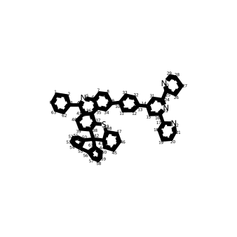 c1ccc(-c2nc3ccc(-c4ccc(-c5cc(-c6ccccn6)nc(-c6ccccn6)c5)cc4)cc3c3c4c(ccc23)C2(c3ccccc3S4)c3ccccc3-c3ccccc32)cc1